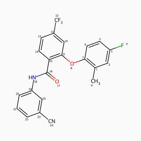 Cc1cc(F)ccc1Oc1cc(C(F)(F)F)ccc1C(=O)Nc1cccc(C#N)c1